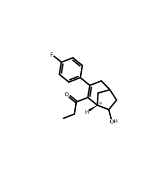 CCC(=O)C1=C(c2ccc(F)cc2)CC2CC(O)[C@H]1C2